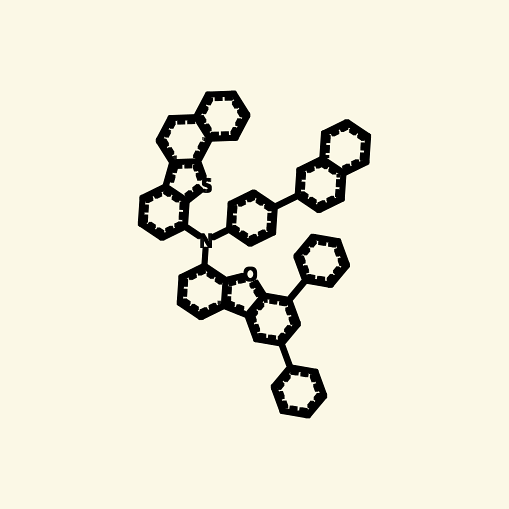 c1ccc(-c2cc(-c3ccccc3)c3oc4c(N(c5ccc(-c6ccc7ccccc7c6)cc5)c5cccc6c5sc5c7ccccc7ccc65)cccc4c3c2)cc1